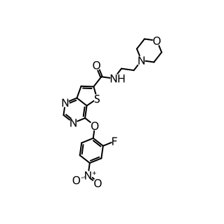 O=C(NCCN1CCOCC1)c1cc2ncnc(Oc3ccc([N+](=O)[O-])cc3F)c2s1